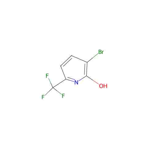 Oc1nc(C(F)(F)F)ccc1Br